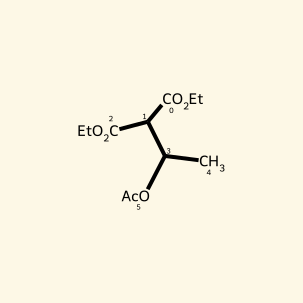 CCOC(=O)C(C(=O)OCC)C(C)OC(C)=O